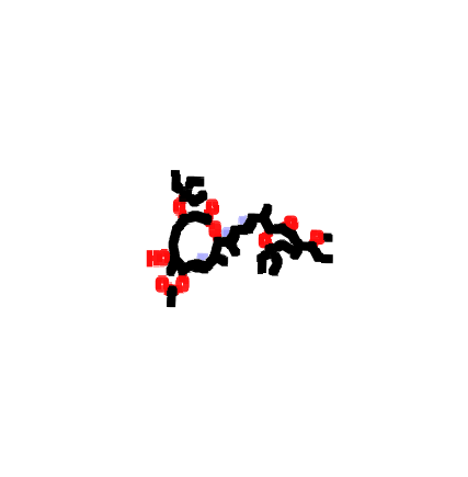 CCC(OC)C(C)C1OC1C(O[Si](CC)(CC)CC)C(C)/C=C/C=C(\C)C1OC(=O)CC(O[Si](CC)(CC)CC)CCC(C)(O)C(OC(C)=O)/C=C/C1C